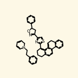 C1=CCN(CCc2ccccc2)C=C1.C1=c2c(ccc3c2=C(c2nc(C4=NOC(c5ccccc5)C4)cs2)CCC3)-c2ccccc2C1